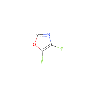 Fc1n[c]oc1F